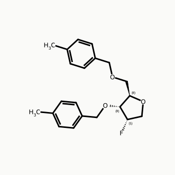 Cc1ccc(COC[C@H]2OC[C@H](F)[C@@H]2OCc2ccc(C)cc2)cc1